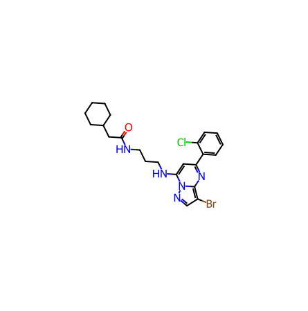 O=C(CC1CCCCC1)NCCCNc1cc(-c2ccccc2Cl)nc2c(Br)cnn12